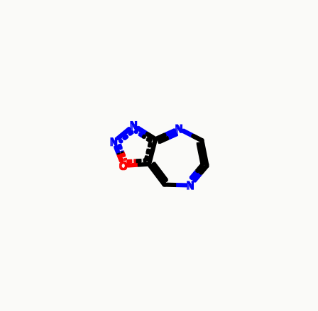 C1=CN=c2nnoc2=CN=1